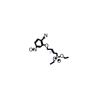 CCOP(=O)(C/C=C/COc1cc(N=O)ccc1C#N)OCC